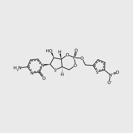 Nc1ccn([C@@H]2S[C@@H]3COP(=O)(OCc4ccc([N+](=O)[O-])s4)O[C@H]3[C@@H]2O)c(=O)n1